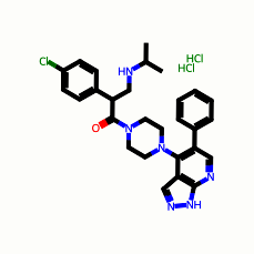 CC(C)NCC(C(=O)N1CCN(c2c(-c3ccccc3)cnc3[nH]ncc23)CC1)c1ccc(Cl)cc1.Cl.Cl